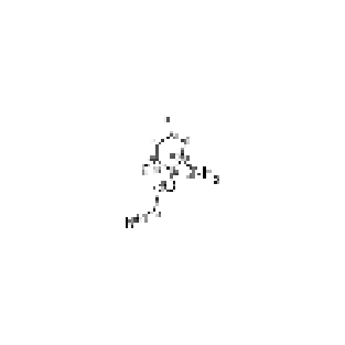 CC1C[C@@H](N)[C@@H](OCCC#N)[C@@H](C)C1